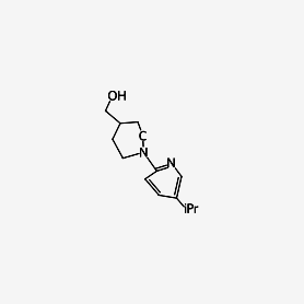 CC(C)c1ccc(N2CCC(CO)CC2)nc1